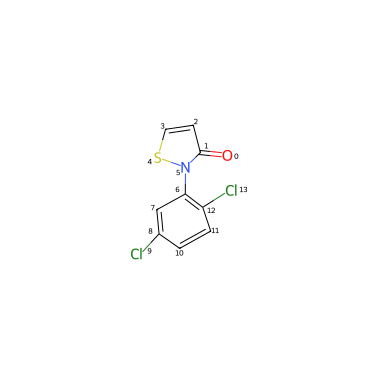 O=c1ccsn1-c1cc(Cl)ccc1Cl